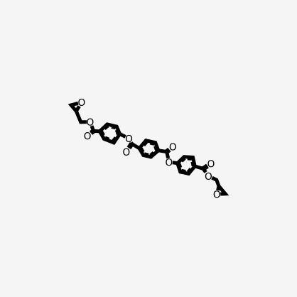 O=C(OCC1CO1)c1ccc(OC(=O)c2ccc(C(=O)Oc3ccc(C(=O)OCC4CO4)cc3)cc2)cc1